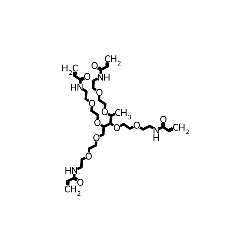 C=CC(=O)NCCOCCOCC(OCCOCCNC(=O)C=C)C(OCCOCCNC(=O)C=C)C(C)OCCOCCNC(=O)C=C